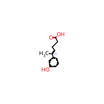 C/C(=C\CCC(=O)O)c1cccc(O)c1